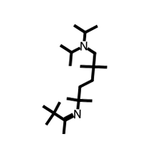 C/C(=N/C(C)(C)CCC(C)(C)CN(C(C)C)C(C)C)C(C)(C)C